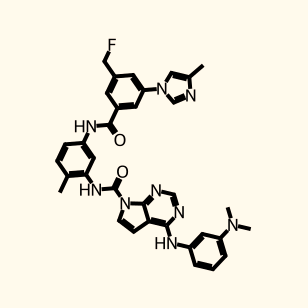 Cc1cn(-c2cc(CF)cc(C(=O)Nc3ccc(C)c(NC(=O)n4ccc5c(Nc6cccc(N(C)C)c6)ncnc54)c3)c2)cn1